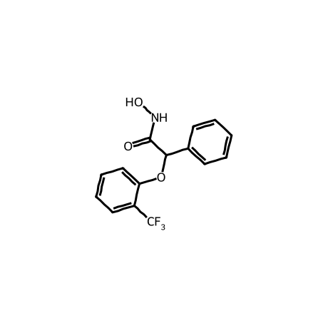 O=C(NO)C(Oc1ccccc1C(F)(F)F)c1ccccc1